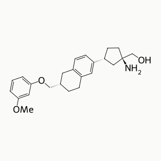 COc1cccc(OC[C@H]2CCc3cc([C@@H]4CC[C@](N)(CO)C4)ccc3C2)c1